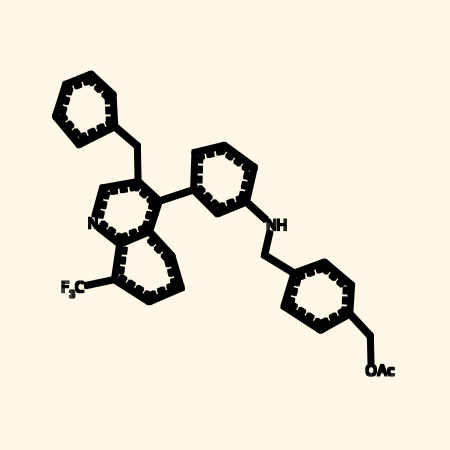 CC(=O)OCc1ccc(CNc2cccc(-c3c(Cc4ccccc4)cnc4c(C(F)(F)F)cccc34)c2)cc1